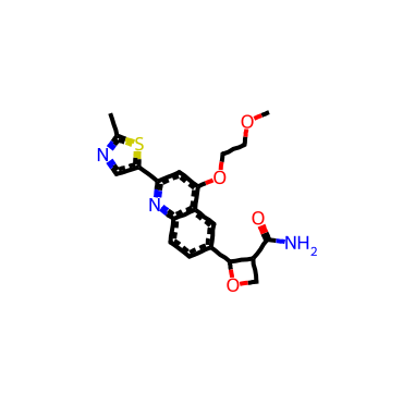 COCCOc1cc(-c2cnc(C)s2)nc2ccc(C3OCC3C(N)=O)cc12